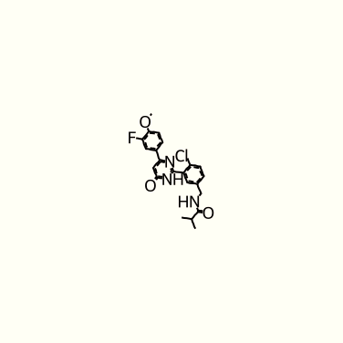 COc1ccc(-c2cc(=O)[nH]c(-c3cc(CNC(=O)C(C)C)ccc3Cl)n2)cc1F